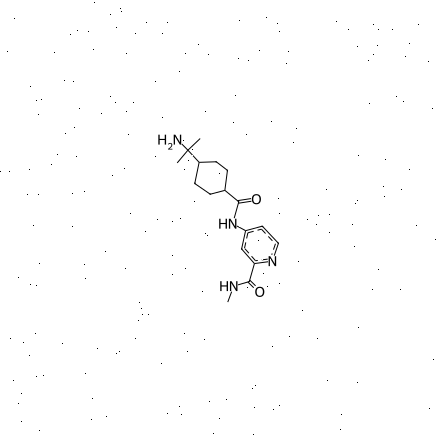 CNC(=O)c1cc(NC(=O)C2CCC(C(C)(C)N)CC2)ccn1